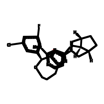 COc1cc(N2C[C@H]3CC[C@@H](C2)[C@@H]3Nc2nc3n(n2)CCCO[C@H]3c2cc(F)cc(Cl)c2)ccn1